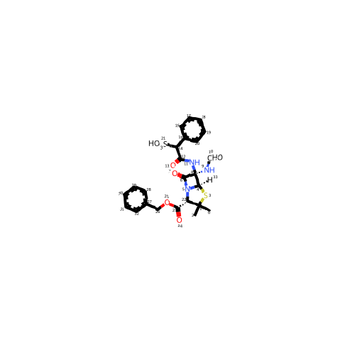 CC1(C)S[C@H]2N(C(=O)[C@@]2(NC=O)NC(=O)C(c2ccccc2)S(=O)(=O)O)[C@H]1C(=O)OCc1ccccc1